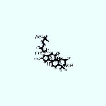 CC(=O)OC(C)(C)/C=C/C(=O)[C@@](O)(I)[C@H]1[C@H](O)C[C@@]2(C)[C@@H]3CC=C4[C@@H](CC(=O)[C@H](O)C4(C)C)[C@]3(C)C(=O)C[C@]12C